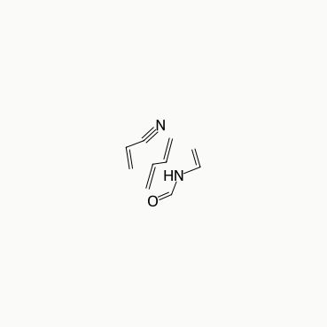 C=CC#N.C=CC=C.C=CNC=O